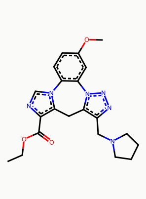 CCOC(=O)c1ncn2c1Cc1c(CN3CCCC3)nnn1-c1cc(OC)ccc1-2